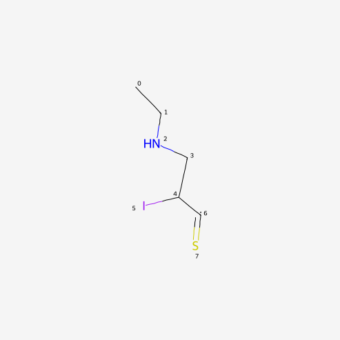 CCNCC(I)[C]=S